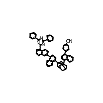 N#Cc1ccc(-c2ccc(C34CC5CC(C3)CC(c3ccc(-c6ccc7c(-c8nc(-c9ccccc9)nc(-c9ccccc9)n8)cccc7c6)c6ccccc36)(C5)C4)c3ccccc23)cc1